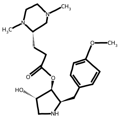 COc1ccc(C[C@H]2NC[C@H](O)[C@H]2OC(=O)CC[C@H]2CN(C)CCN2C)cc1